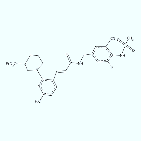 CCOC(=O)C1CCCN(c2nc(C(F)(F)F)ccc2C=CC(=O)NCc2cc(F)c(NS(C)(=O)=O)c(C#N)c2)C1